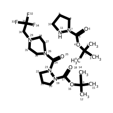 CC(C)(C)OC(=O)N1CCCN1.CC(C)(C)OC(=O)N1CCCN1C(=O)N1CCN(CC(F)(F)F)CC1